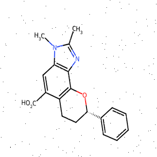 Cc1nc2c3c(c(C(=O)O)cc2n1C)CC[C@@H](c1ccccc1)O3